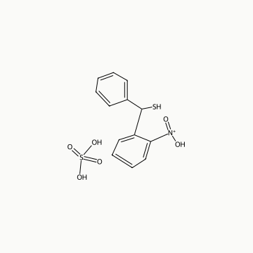 O=S(=O)(O)O.O=[N+](O)c1ccccc1C(S)c1ccccc1